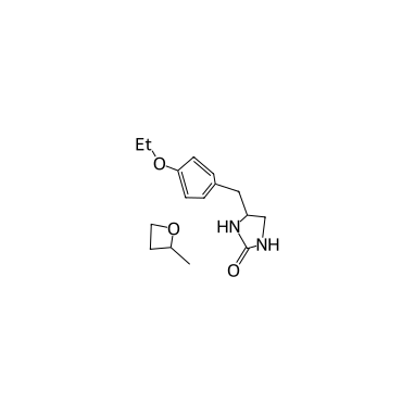 CC1CCO1.CCOc1ccc(CC2CNC(=O)N2)cc1